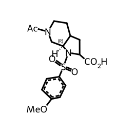 COc1ccc(S(=O)(=O)N2C(C(=O)O)CC3CCN(C(C)=O)C[C@@H]32)cc1